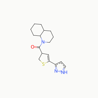 O=C(C1C=C(c2cc[nH]n2)SC1)N1CCCC2CCCCC21